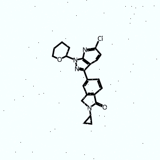 O=C1c2ccc(-c3nn(C4CCCCO4)c4nc(Cl)ccc34)cc2CN1C1CC1